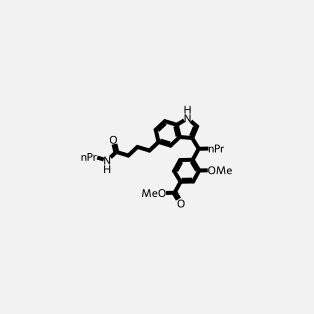 CCCNC(=O)CCCc1ccc2[nH]cc(C(CCC)c3ccc(C(=O)OC)cc3OC)c2c1